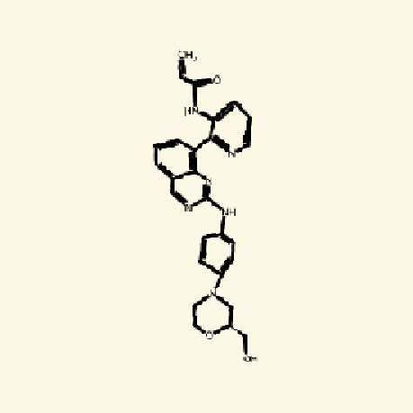 C=CC(=O)Nc1cccnc1-c1cccc2cnc(Nc3ccc(N4CCO[C@H](CO)C4)cc3)nc12